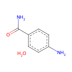 NC(=O)c1ccc(N)cc1.O